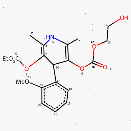 CCOC(=O)OC1=C(C)NC(C)=C(OC(=O)OCCO)C1c1ccccc1OC